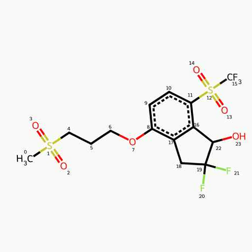 CS(=O)(=O)CCCOc1ccc(S(=O)(=O)C(F)(F)F)c2c1CC(F)(F)C2O